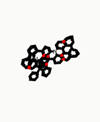 c1ccc(-c2cccc3cccc(-c4ccccc4N(c4ccc(-c5cccc6c7ccccc7n(-c7ccccc7)c56)cc4)c4ccccc4-c4cccc5c4-c4ccccc4C5(c4ccccc4)c4ccccc4)c23)cc1